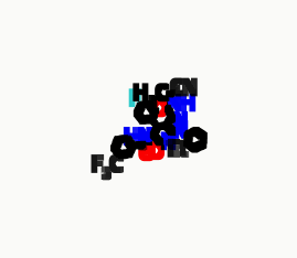 CCN1C(=O)[C@@H](NC(=O)c2cccc(C(F)(F)F)c2)[C@@H](c2ccc(F)cc2)c2c(C(=O)N[C@@H](C)C#N)nn(-c3ccccc3)c21